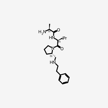 CC(C)[C@H](NC(=O)[C@H](C)N)C(=O)N1CCC[C@H]1CNCCc1ccccc1